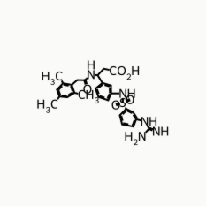 Cc1cc(C)c(CC(=O)NC(CC(=O)O)c2cccc(NS(=O)(=O)c3cccc(NC(=N)N)c3)c2)c(C)c1